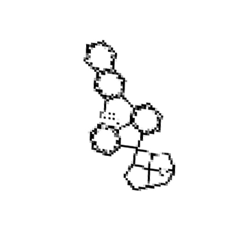 O=[N+]([O-])c1cc2ccccc2cc1-c1cccc2c1-c1ccccc1C21C2CC3CC4CC1C2(C3)C4